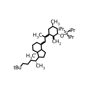 C=C1/C(=C(C)\C=C2/CCC[C@@]3(C)C2CCC3[C@H](C)CCCC(C)(C)C)C[C@@H](C)C[C@@H]1O[Si](C(C)C)(C(C)C)C(C)C